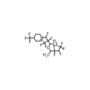 CC(OC(C)C(F)(C(F)N1CCC(C(F)(F)F)CC1)C(F)(F)F)C(F)(F)C(F)C(F)(F)F